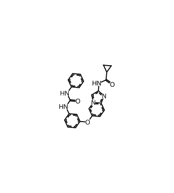 O=C(Nc1ccccc1)Nc1cccc(Oc2ccc3nc(NC(=O)C4CC4)cn3c2)c1